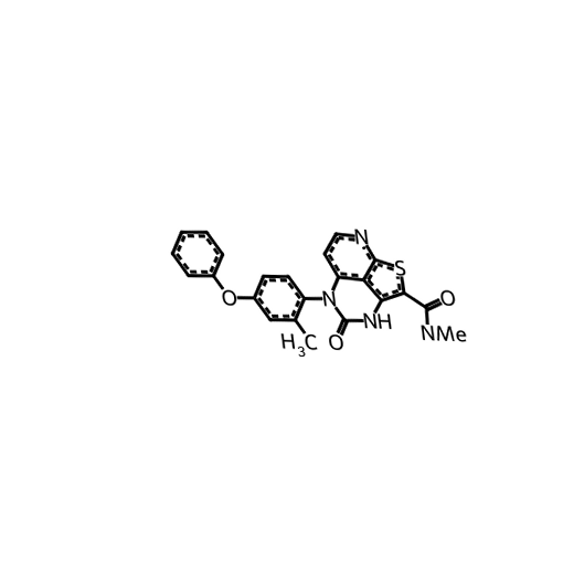 CNC(=O)c1sc2nccc3c2c1NC(=O)N3c1ccc(Oc2ccccc2)cc1C